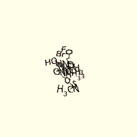 Cc1ncsc1-c1ccc(CNC(=O)[C@@H]2C[C@@H](O)CN2C(=O)[C@@H](NC(=O)CCc2cccc(F)c2Br)C(C)(C)C)cc1